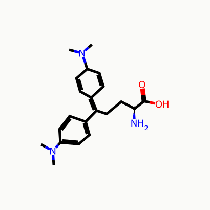 CN(C)c1ccc(C(CC[C@H](N)C(=O)O)=C2C=CC(N(C)C)C=C2)cc1